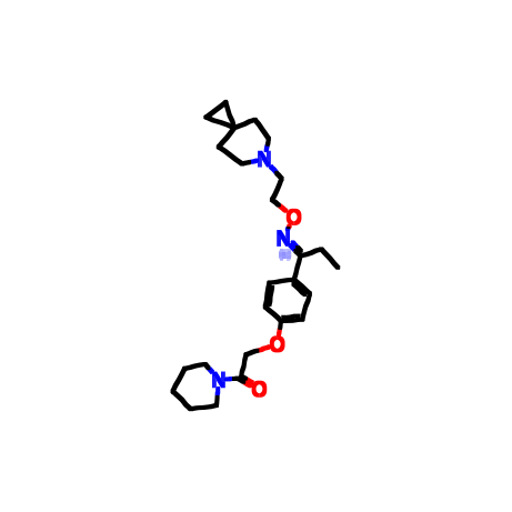 CC/C(=N\OCCN1CCC2(CC1)CC2)c1ccc(OCC(=O)N2CCCCC2)cc1